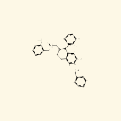 CN(Cc1ccccc1)CC1CCc2cc(OCc3ccccc3)ccc2C1c1ccccc1